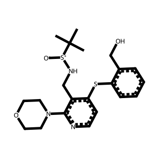 CC(C)(C)[S+]([O-])NCc1c(Sc2ccccc2CO)ccnc1N1CCOCC1